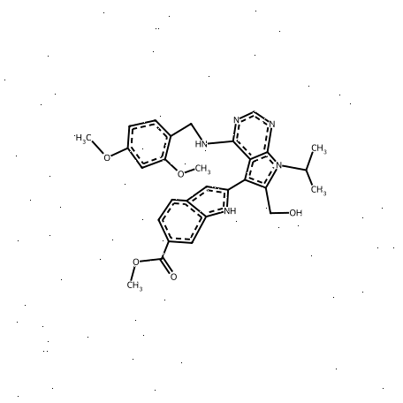 COC(=O)c1ccc2cc(-c3c(CO)n(C(C)C)c4ncnc(NCc5ccc(OC)cc5OC)c34)[nH]c2c1